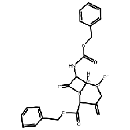 C=C1C[S+]([O-])[C@H]2C(NC(=O)OCc3ccccc3)C(=O)N2C1C(=O)OCc1ccccc1